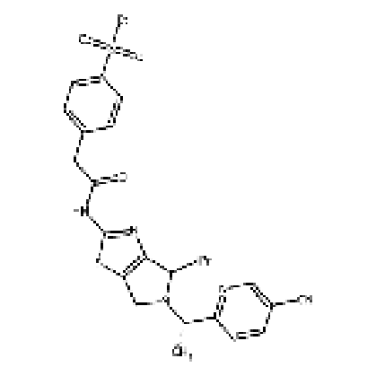 CCS(=O)(=O)c1ccc(CC(=O)Nc2nc3c(s2)CN([C@@H](C)c2ccc(C#N)cn2)C3C(C)C)cc1